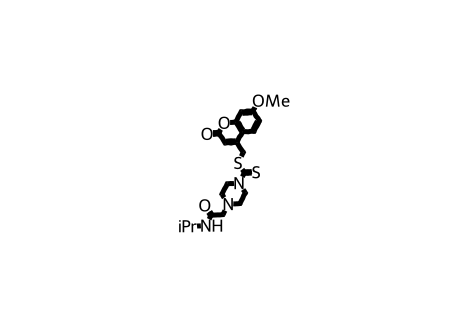 COc1ccc2c(CSC(=S)N3CCN(CC(=O)NC(C)C)CC3)cc(=O)oc2c1